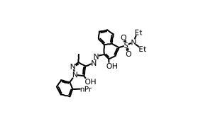 CCCc1ccccc1-n1nc(C)c(N=Nc2c(O)cc(S(=O)(=O)N(CC)CC)c3ccccc23)c1O